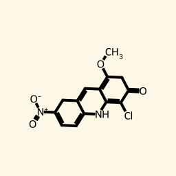 COC1=C2C=C3CC([N+](=O)[O-])=CC=C3NC2=C(Cl)C(=O)C1